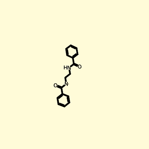 O=C([N]CCNC(=O)c1ccccc1)c1ccccc1